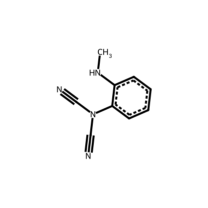 CNc1ccccc1N(C#N)C#N